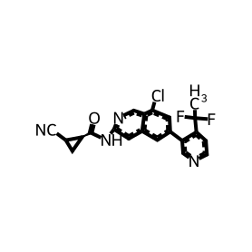 CC(F)(F)c1ccncc1-c1cc(Cl)c2cnc(NC(=O)[C@H]3CC3C#N)cc2c1